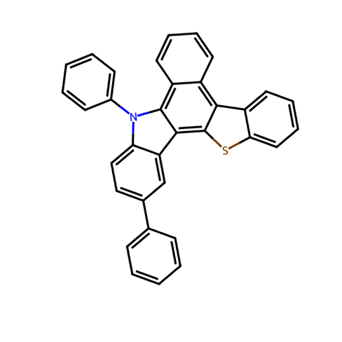 c1ccc(-c2ccc3c(c2)c2c4sc5ccccc5c4c4ccccc4c2n3-c2ccccc2)cc1